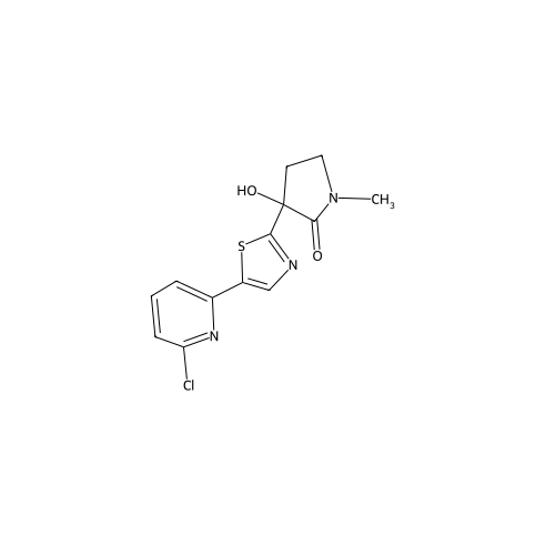 CN1CCC(O)(c2ncc(-c3cccc(Cl)n3)s2)C1=O